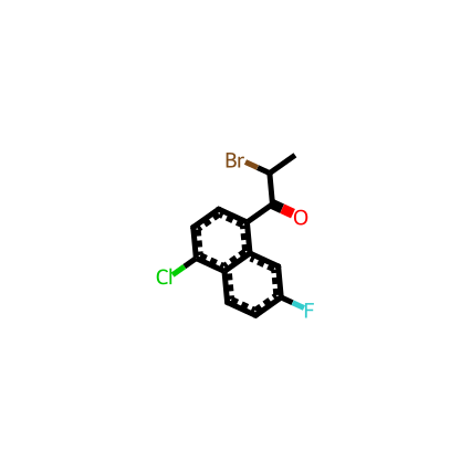 CC(Br)C(=O)c1ccc(Cl)c2ccc(F)cc12